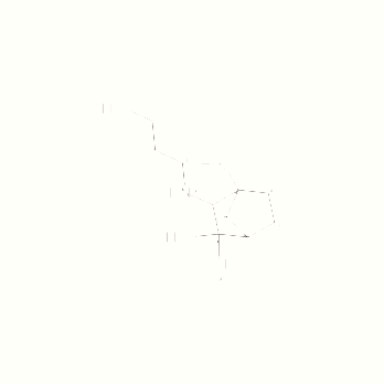 CCCCNC1C2(C)CCC(C2)C1(C)C